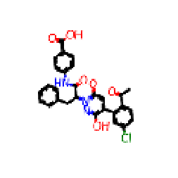 CC(=O)c1ccc(Cl)cc1-c1cc(=O)n(C(Cc2ccccc2)C(=O)Nc2ccc(C(=O)O)cc2)nc1O